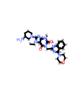 CCn1c(N2CCCC(N)C2)nc2c1c(=O)n(Cc1nc(N3CCOCC3)c3ccccc3n1)c(=O)n2C